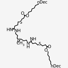 CCCCCCCCCCCCCCCCOC(=O)CCSCCCC(=N)NCCCN(C)CCCNC(=N)CCCSCCC(=O)OCCCCCCCCCCCCCCCC